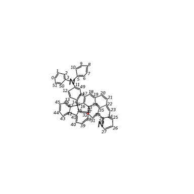 c1ccc(N(c2ccccc2)c2ccc(C3(c4ccc5ccc6cc7cccnc7c7ccc4c5c67)c4ccccc4-c4ccccc43)cc2)cc1